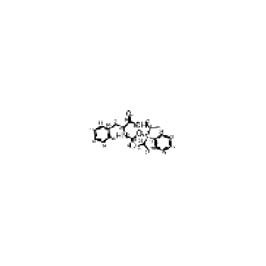 CC(C)[Si](OC(=O)N[C@@H](Cc1ccccc1)C(=O)O)(c1ccccc1)C(C)C